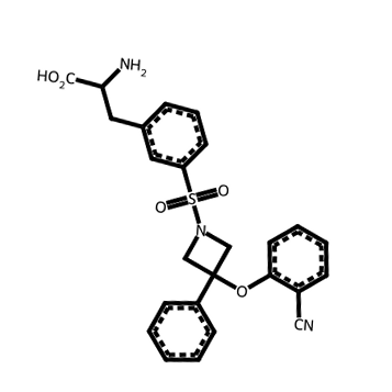 N#Cc1ccccc1OC1(c2ccccc2)CN(S(=O)(=O)c2cccc(CC(N)C(=O)O)c2)C1